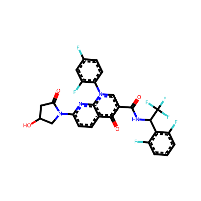 O=C(NC(c1c(F)cccc1F)C(F)(F)F)c1cn(-c2ccc(F)cc2F)c2nc(N3CC(O)CC3=O)ccc2c1=O